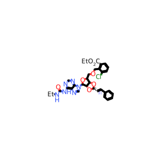 CCNC(=O)Nc1ncnc2c1ncn2C1OC(COCc2c(Cl)cccc2C(=O)OCC)C2O[C@H](/C=C/c3ccccc3)OC21